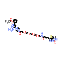 Nc1nnc(-c2ccccc2OC(=O)C(F)(F)F)cc1N1CCN(C(=O)CCOCCOCCOCCOCCNC(=O)CCCC[C@@H]2SC[C@@H]3NC(=O)N[C@@H]32)CC1